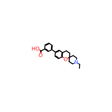 CCN1CCC2(CCc3cc(-c4cccc(C(=O)O)c4)ccc3O2)CC1